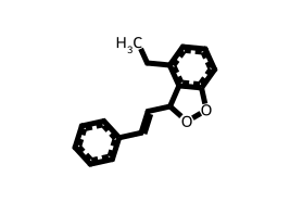 CCc1cccc2c1C(C=Cc1ccccc1)OO2